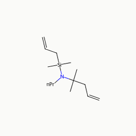 C=CCC(C)(C)N(CCC)[Si](C)(C)CC=C